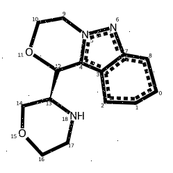 c1ccc2c3n(nc2c1)CCOC3[C@@H]1COCCN1